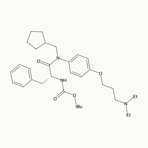 CCN(CC)CCCOc1ccc(N(CC2CCCC2)C(=O)[C@@H](Cc2ccccc2)NC(=O)OC(C)(C)C)cc1